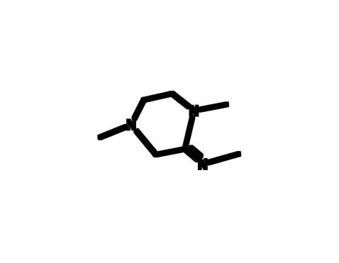 C/N=C1/CN(C)CCN1C